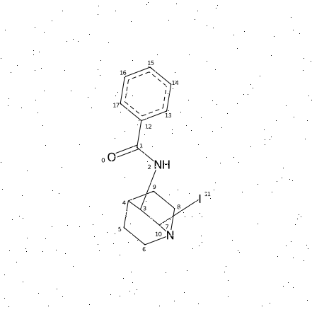 O=C(NC1C2CCN(CC2)C1I)c1ccccc1